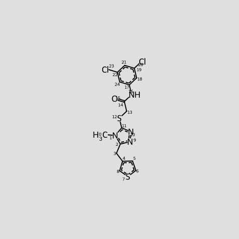 Cn1c(Cc2ccsc2)nnc1SCC(=O)Nc1cc(Cl)cc(Cl)c1